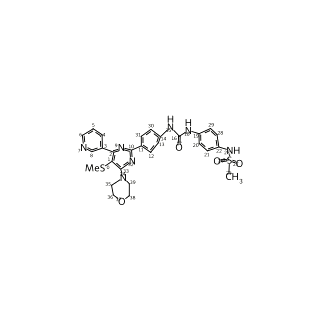 CSc1c(-c2cccnc2)nc(-c2ccc(NC(=O)Nc3ccc(NS(C)(=O)=O)cc3)cc2)nc1N1CCOCC1